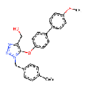 COc1ccc(Cn2nnc(CO)c2Oc2ccc(-c3ccc(OC(F)(F)F)cc3)cc2)cc1